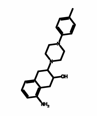 Cc1ccc(N2CCN(C3Cc4cccc(N)c4CC3O)CC2)cc1